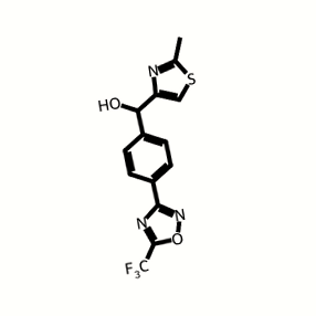 Cc1nc(C(O)c2ccc(-c3noc(C(F)(F)F)n3)cc2)cs1